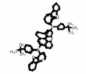 CC(C)(C)c1ccc(N(c2cc3c4c(ccc5cc(N(c6ccc(C(C)(C)C)cc6)c6cccc7c6oc6ccccc67)c6cccc(c6c54)O3)c2)c2cccc3c2oc2ccccc23)cc1